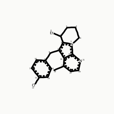 CCC1CCCn2c1c(Cc1ccc(Cl)cc1)c1c(C)ccnc12